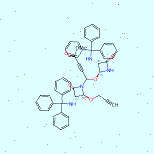 C#CCO[C@H]1[C@H](NC(c2ccccc2)(c2ccccc2)c2ccccc2)C(=O)N1C(C#CC(=O)OC)O[C@@H]1NC(=O)[C@H]1NC(c1ccccc1)(c1ccccc1)c1ccccc1